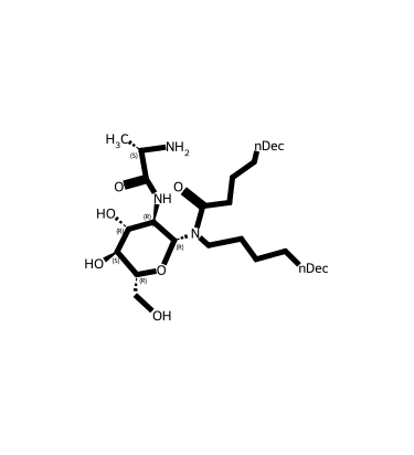 CCCCCCCCCCCCCCN(C(=O)CCCCCCCCCCCCC)[C@@H]1O[C@H](CO)[C@@H](O)[C@H](O)[C@H]1NC(=O)[C@H](C)N